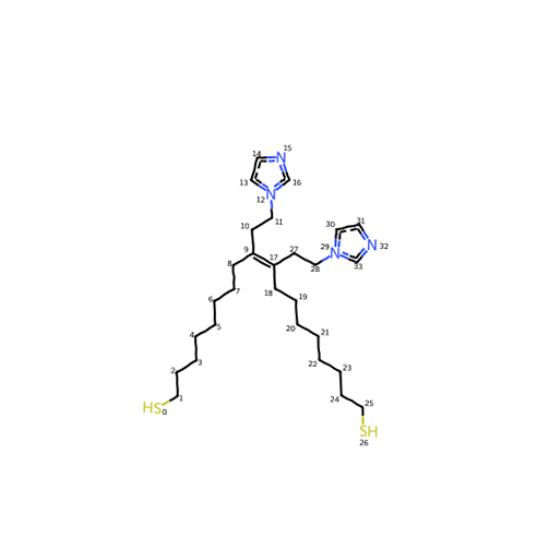 SCCCCCCCCC(CCn1ccnc1)=C(CCCCCCCCS)CCn1ccnc1